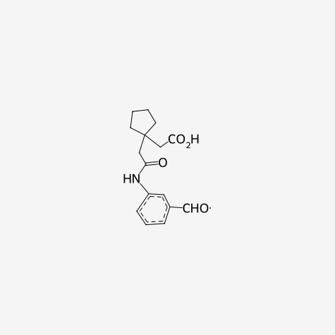 O=[C]c1cccc(NC(=O)CC2(CC(=O)O)CCCC2)c1